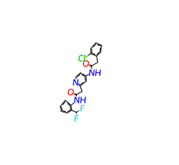 O=C(Cc1ccccc1Cl)Nc1ccnc(CC(=O)Nc2ccccc2C(F)F)c1